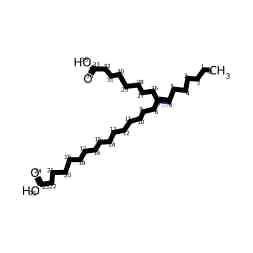 CCCCCC/C=C(/CCCCCCCCCCCCCCCC(=O)O)CCCCCCCC(=O)O